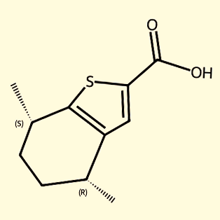 C[C@@H]1CC[C@H](C)c2sc(C(=O)O)cc21